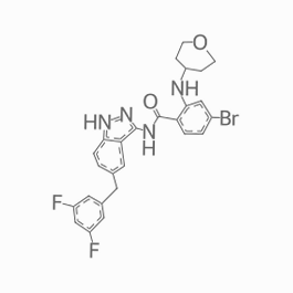 O=C(Nc1n[nH]c2ccc(Cc3cc(F)cc(F)c3)cc12)c1ccc(Br)cc1NC1CCOCC1